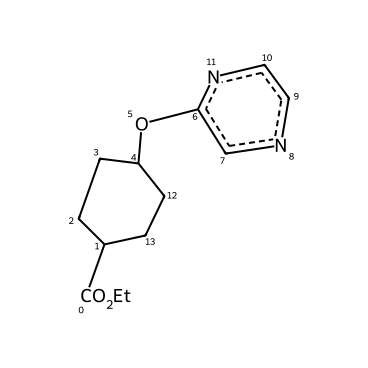 CCOC(=O)C1CCC(Oc2cnccn2)CC1